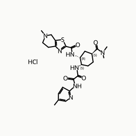 Cc1ccc(NC(=O)C(=O)N[C@H]2CC[C@H](C(=O)N(C)C)C[C@H]2NC(=O)c2nc3c(s2)CN(C)CC3)nc1.Cl